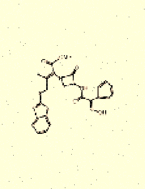 COC(=O)/C(=C(\C)CSc1nc2ccccc2s1)N1CC(NC(=O)/C(=N/O)c2ccccc2)C1=O